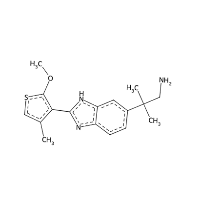 COc1scc(C)c1-c1nc2ccc(C(C)(C)CN)cc2[nH]1